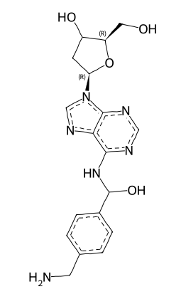 NCc1ccc(C(O)Nc2ncnc3c2ncn3[C@H]2CC(O)[C@@H](CO)O2)cc1